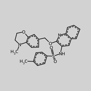 Cc1ccc(S(=O)(=O)Nc2cc3ccccc3nc2OCc2ccc3c(c2)OCCN3C)cc1